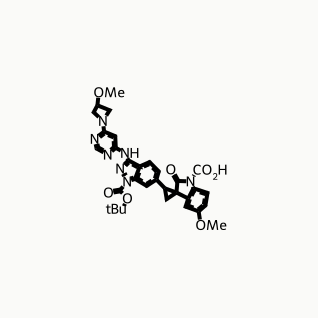 COc1ccc2c(c1)C1(CC1c1ccc3c(Nc4cc(N5CC(OC)C5)ncn4)nn(C(=O)OC(C)(C)C)c3c1)C(=O)N2C(=O)O